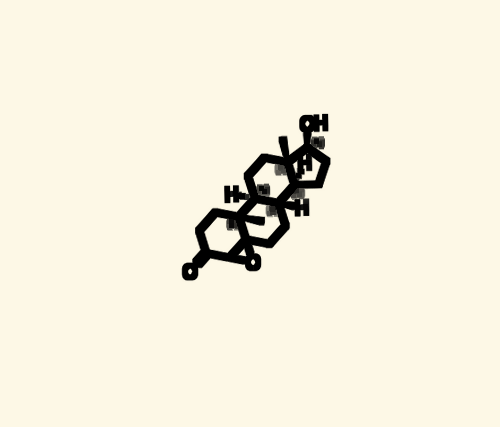 C[C@]12CC[C@H]3[C@@H](CCC45OC4C(=O)CC[C@]35C)[C@@H]1CC[C@@H]2O